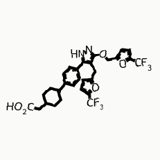 O=C(O)CC1CCC(c2ccc(-c3[nH]nc(OCc4ccc(C(F)(F)F)o4)c3Cc3ccc(C(F)(F)F)o3)cc2)CC1